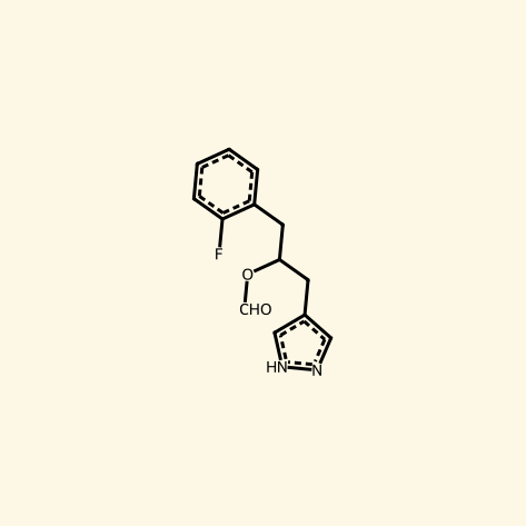 O=COC(Cc1cn[nH]c1)Cc1ccccc1F